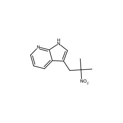 CC(C)(Cc1c[nH]c2ncccc12)[N+](=O)[O-]